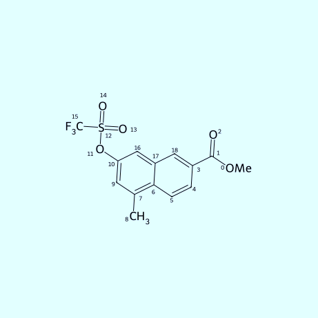 COC(=O)c1ccc2c(C)cc(OS(=O)(=O)C(F)(F)F)cc2c1